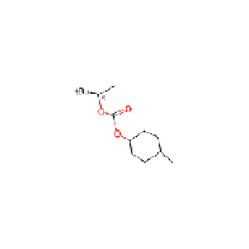 CC1CCC(OC(=O)O[C@H](C)C(C)(C)C)CC1